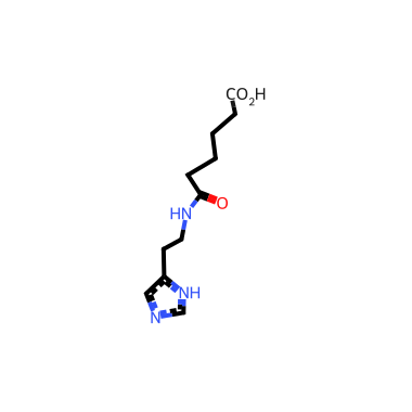 O=C(O)CCCCC(=O)NCCc1cnc[nH]1